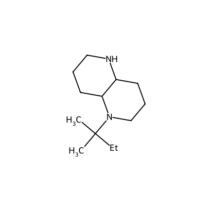 CCC(C)(C)N1CCCC2NCCCC21